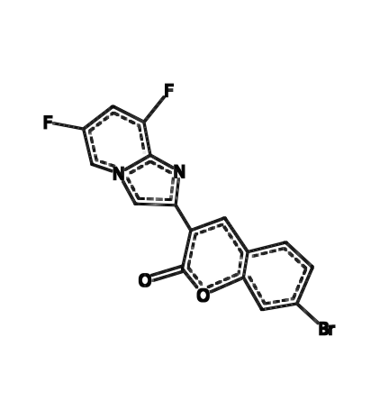 O=c1oc2cc(Br)ccc2cc1-c1cn2cc(F)cc(F)c2n1